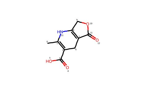 CC1=C(C(=O)O)CC2=C(COC2=O)N1